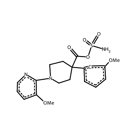 COc1cccc(C2(C(=O)OS(N)(=O)=O)CCN(c3ncccc3OC)CC2)c1